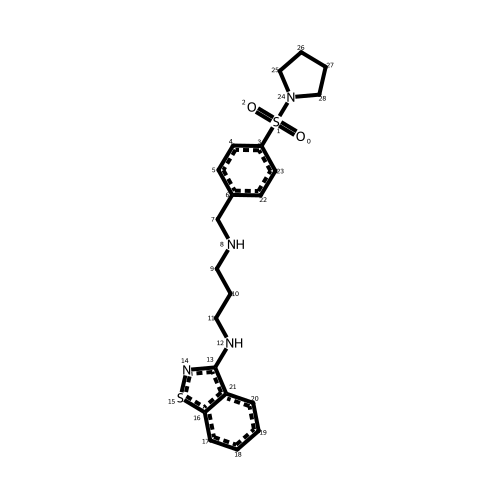 O=S(=O)(c1ccc(CNCCCNc2nsc3ccccc23)cc1)N1CCCC1